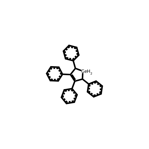 c1ccc(C2=C(c3ccccc3)[CH](c3ccccc3)[GeH2][CH]2c2ccccc2)cc1